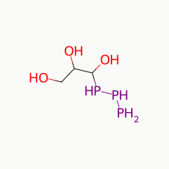 OCC(O)C(O)PPP